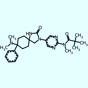 CN(C(=O)C(C)(C)C)c1ncc(N2CC3(CCC(c4ccccc4)(N(C)C)CC3)NC2=O)cn1